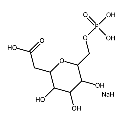 O=C(O)CC1OC(COP(=O)(O)O)C(O)C(O)C1O.[NaH]